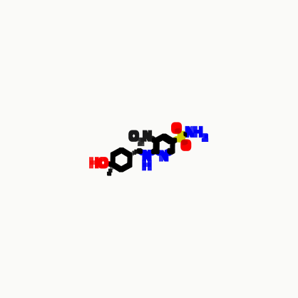 C[C@]1(O)CC[C@H](CNc2ncc(S(N)(=O)=O)cc2[N+](=O)[O-])CC1